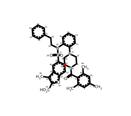 Cc1cc(C)c(C(=O)N2CCN(c3ccccc3N(CCc3ccccc3)S(=O)(=O)c3ccc4oc(C(=O)O)c(C)c4c3)CC2)c(C)c1